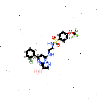 Bc1cnn2c(NCCNS(=O)(=O)c3ccc(OC(F)(F)F)cc3)cc(-c3ccccc3Cl)nc12